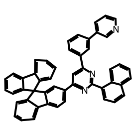 c1cncc(-c2cccc(-c3cc(-c4ccc5c(c4)C4(c6ccccc6-c6ccccc64)c4ccccc4-5)nc(-c4cccc5ccccc45)n3)c2)c1